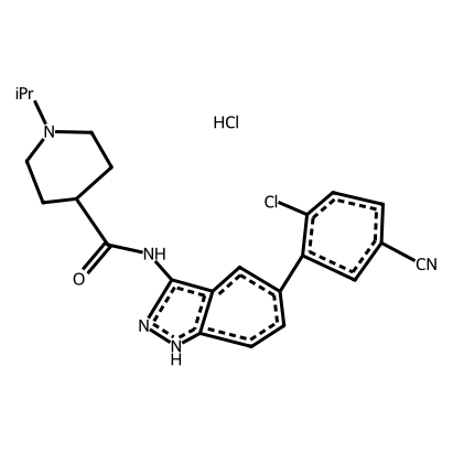 CC(C)N1CCC(C(=O)Nc2n[nH]c3ccc(-c4cc(C#N)ccc4Cl)cc23)CC1.Cl